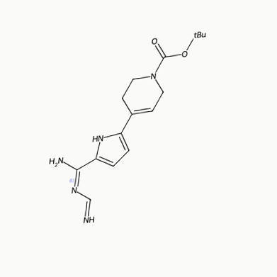 CC(C)(C)OC(=O)N1CC=C(c2ccc(/C(N)=N\C=N)[nH]2)CC1